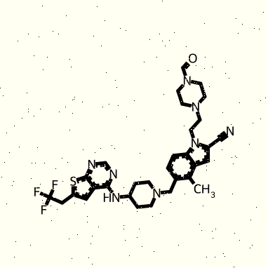 Cc1c(CN2CCC(Nc3ncnc4sc(CC(F)(F)F)cc34)CC2)ccc2c1cc(C#N)n2CCN1CCN(C=O)CC1